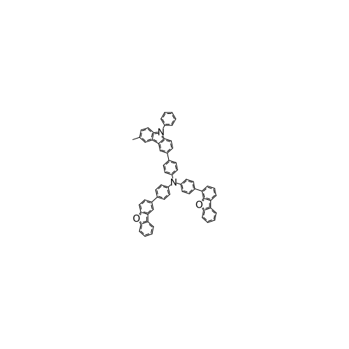 Cc1ccc2c(c1)c1cc(-c3ccc(N(c4ccc(-c5ccc6oc7ccccc7c6c5)cc4)c4ccc(-c5cccc6c5oc5ccccc56)cc4)cc3)ccc1n2-c1ccccc1